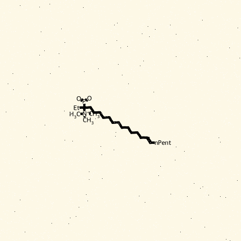 CCCCCC=CCCCCCCCCCCCCC(CC)(P(=O)=O)[N+](C)(C)C